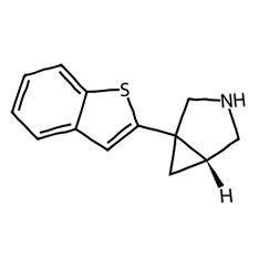 c1ccc2sc(C34CNC[C@@H]3C4)cc2c1